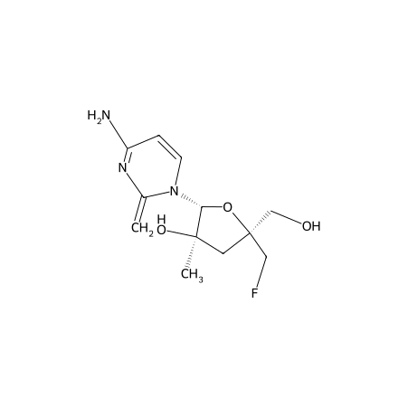 C=C1N=C(N)C=CN1[C@@H]1O[C@@](CO)(CF)C[C@@]1(C)O